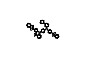 CC1(C)c2ccccc2N(c2ccc(N(c3ccc(-c4nc5ccccc5o4)cc3)c3cccc(-c4ccccc4)c3)cc2)c2ccc(-c3nc4ccccc4o3)cc21